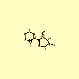 CC1CCC(C2CCCCN2C)N(C)C1